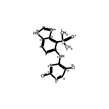 CP(C)(=O)c1c(Nc2nc(Cl)ncc2Cl)ccc2[nH]cnc12